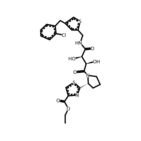 CCOC(=O)c1csc([C@H]2CCCN2C(=O)[C@H](O)[C@@H](O)C(=O)NCc2cc(Cc3ccccc3Cl)cs2)n1